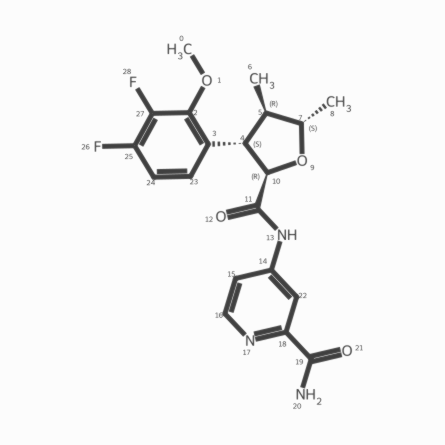 COc1c([C@@H]2[C@@H](C)[C@H](C)O[C@H]2C(=O)Nc2ccnc(C(N)=O)c2)ccc(F)c1F